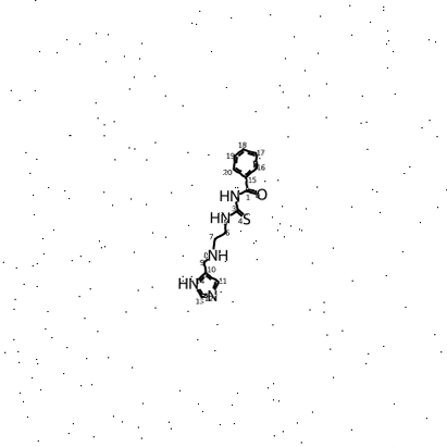 O=C(NC(=S)NCCNCc1cnc[nH]1)c1ccccc1